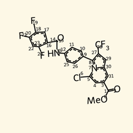 COC(=O)c1cc(Cl)n2c(-c3ccc(NC(=O)c4cc(F)c(F)cc4F)cc3)c(C(F)(F)F)cc2c1